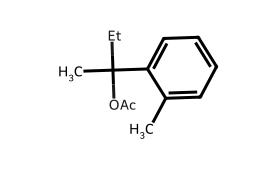 CCC(C)(OC(C)=O)c1ccccc1C